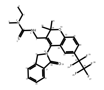 CCN(C)C(=S)NCC1=C(N2Cc3ccccc3C2=O)c2cc(C(F)(F)C(F)(F)F)ccc2OC1(C)C